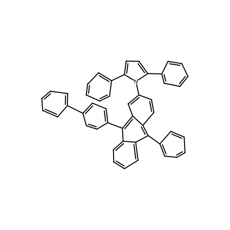 c1ccc(-c2ccc(-c3c4ccccc4c(-c4ccccc4)c4ccc(-n5c(-c6ccccc6)ccc5-c5ccccc5)cc34)cc2)cc1